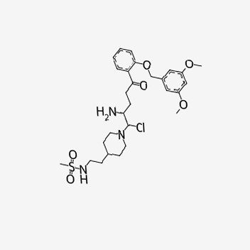 COc1cc(COc2ccccc2C(=O)CCC(N)C(Cl)N2CCC(CCNS(C)(=O)=O)CC2)cc(OC)c1